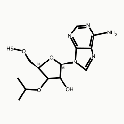 CC(C)OC1C(O)[C@H](n2cnc3c(N)ncnc32)O[C@@H]1COS